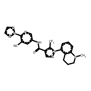 CN1CCCc2c1cccc2-n1ncc(C(=O)Nc2cnc(-n3nccn3)c(C#N)c2)c1C(F)(F)F